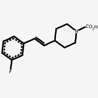 O=C(O)N1CCC(C=Cc2cccc(F)c2)CC1